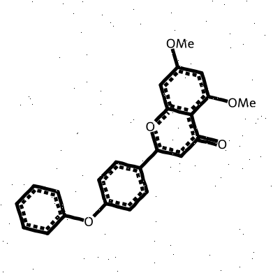 COc1cc(OC)c2c(=O)cc(-c3ccc(Oc4ccccc4)cc3)oc2c1